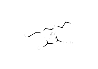 CCCCCCCCCC(CCCC)OC(CCCC)CCCCCCCCC.OCCOCCOCCO